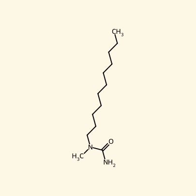 CCCCCCCCCCCN(C)C(N)=O